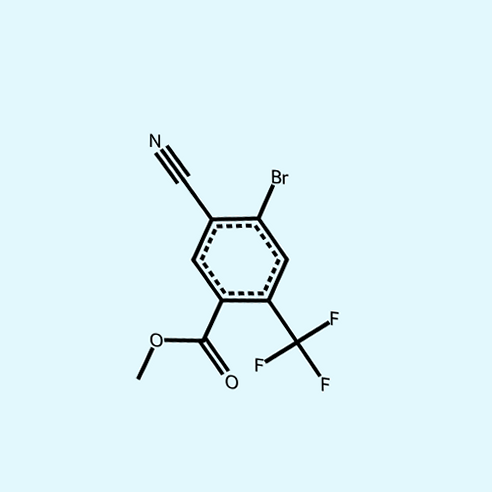 COC(=O)c1cc(C#N)c(Br)cc1C(F)(F)F